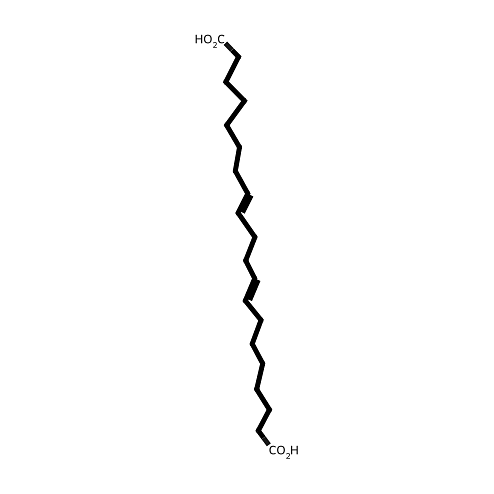 O=C(O)CCCCCC/C=C/CC/C=C/CCCCCCC(=O)O